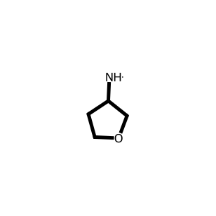 [NH]C1CCOC1